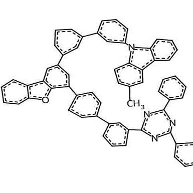 Cc1ccc2c(c1)c1ccccc1n2-c1cccc(-c2cccc(-c3cc(-c4ccc(-c5cccc(-c6nc(-c7ccccc7)nc(-c7ccccc7)n6)c5)cc4)c4oc5ccccc5c4c3)c2)c1